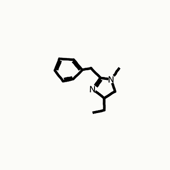 CCC1CN(C)C(Cc2ccccc2)=N1